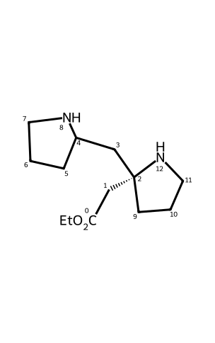 CCOC(=O)C[C@@]1(CC2CCCN2)CCCN1